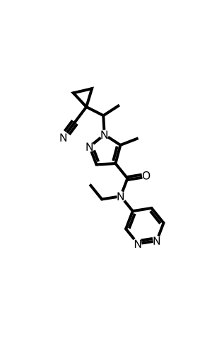 CCN(C(=O)c1cnn(C(C)C2(C#N)CC2)c1C)c1ccnnc1